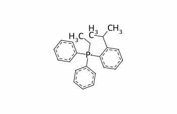 CC[P](c1ccccc1)(c1ccccc1)c1ccccc1C(C)C